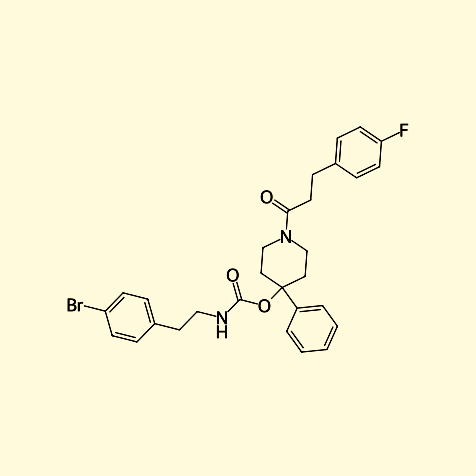 O=C(NCCc1ccc(Br)cc1)OC1(c2ccccc2)CCN(C(=O)CCc2ccc(F)cc2)CC1